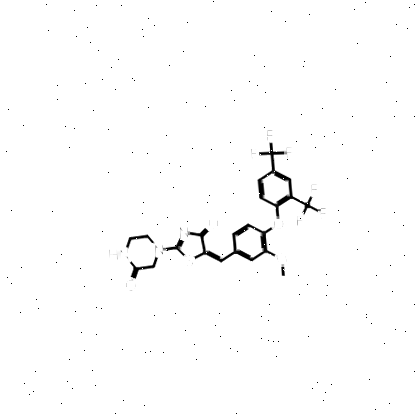 COc1cc(C=C2SC(N3CCNC(=O)C3)=NC2=O)ccc1Oc1ccc(C(F)(F)F)cc1C(F)(F)F